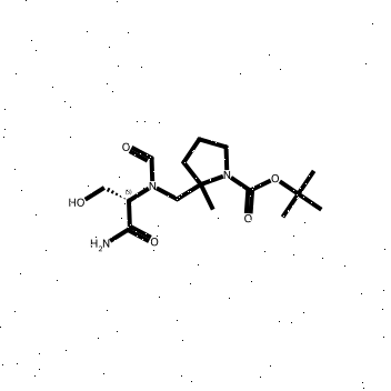 CC(C)(C)OC(=O)N1CCCC1(C)CN(C=O)[C@@H](CO)C(N)=O